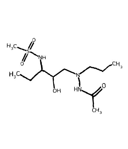 CCCN(CC(O)C(CC)NS(C)(=O)=O)NC(C)=O